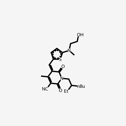 CCCCC(CC)CN1C(=O)C(C#N)=C(C)/C(=C/c2ccc(N(C)CCO)s2)C1=O